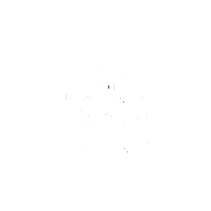 C[C@@H]1CN(c2c(C(O)[Si](c3ccccc3)(c3ccccc3)C(C)(C)C)cc(Cl)c(F)c2C(O)c2nccn2C)C[C@H](C)O1